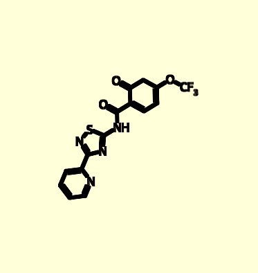 O=C1CC(OC(F)(F)F)=CC=C1C(=O)Nc1nc(-c2ccccn2)ns1